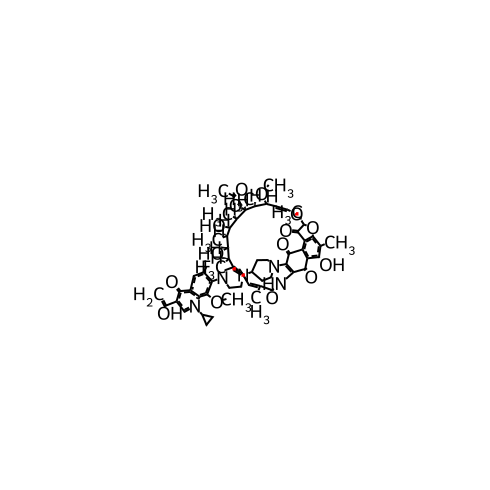 C=C(O)c1cn(C2CC2)c2c(OC)c(N3CCN(C4CCN(C5=C6NC(=O)/C(C)=C\C=C\[C@H](C)[C@H](O)[C@@H](C)[C@@H](O)[C@@H](C)[C@H](OC(C)=O)[C@H](C)[C@@H](OC)/C=C/O[C@@]7(C)Oc8c(C)c(O)c(c(c8C7=O)C5=O)C6=O)CC4)CC3)c(F)cc2c1=O